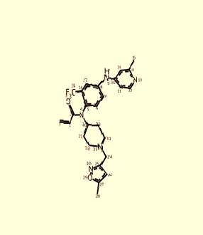 C=CC(=O)N(c1ccc(Nc2ccnc(C)c2)cc1C(F)(F)F)C1CCN(Cc2cc(C)on2)CC1